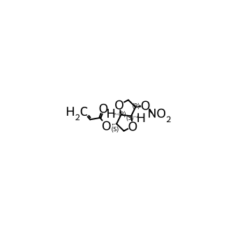 C=CC(=O)O[C@H]1CO[C@H]2[C@@H]1OC[C@H]2O[N+](=O)[O-]